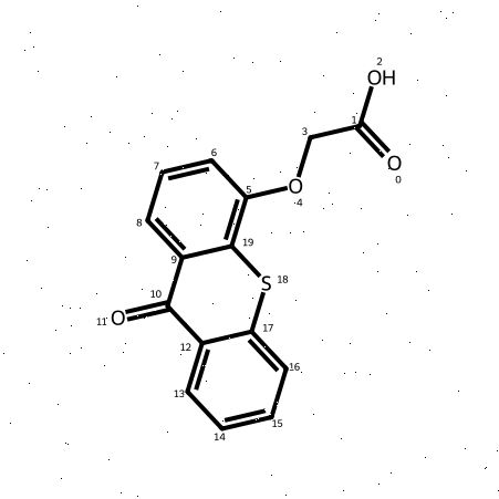 O=C(O)COc1cccc2c(=O)c3ccccc3sc12